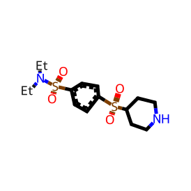 CCN(CC)S(=O)(=O)c1ccc(S(=O)(=O)C2CCNCC2)cc1